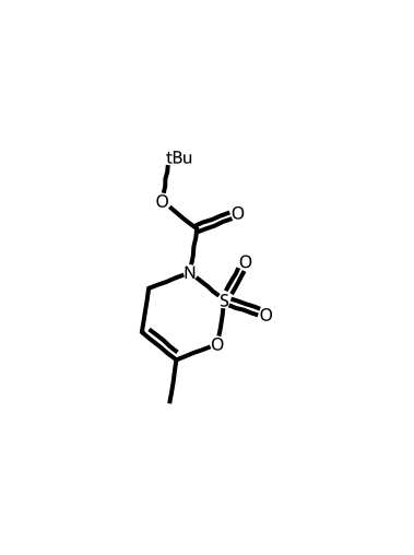 CC1=CCN(C(=O)OC(C)(C)C)S(=O)(=O)O1